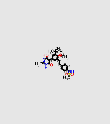 COc1c(C=Cc2ccc(NS(C)(=O)=O)cc2)cc(-c2c(O)nc(C)[nH]c2=O)cc1C(C)(C)C